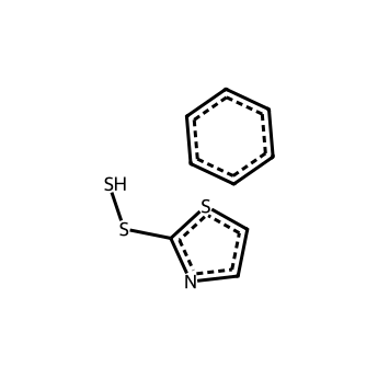 SSc1nccs1.c1ccccc1